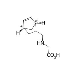 O=C(O)CNCC1C[C@@H]2C=C[C@H]1C2